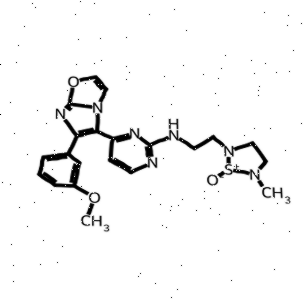 COc1cccc(-c2nc3occn3c2-c2ccnc(NCCN3CCN(C)[S+]3[O-])n2)c1